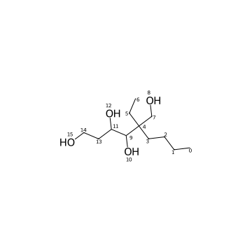 CCCCC(CC)(CO)C(O)C(O)CCO